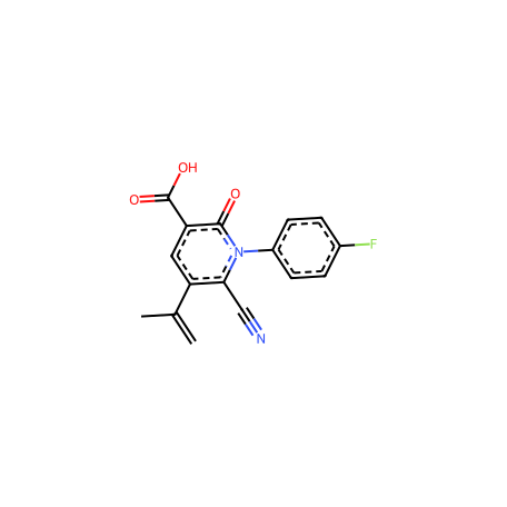 C=C(C)c1cc(C(=O)O)c(=O)n(-c2ccc(F)cc2)c1C#N